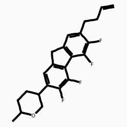 C=CCCc1cc2c(c(F)c1F)-c1c(cc(C3CCC(C)OC3)c(F)c1F)C2